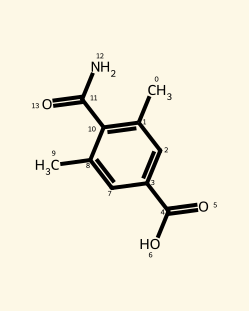 Cc1cc(C(=O)O)cc(C)c1C(N)=O